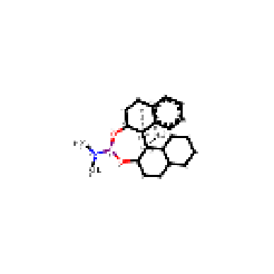 CN(C)P1OC2CCC3CCCCC3[C@@H]2[C@@H]2c3ccccc3CCC2O1